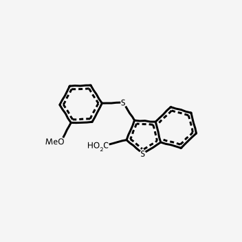 COc1cccc(Sc2c(C(=O)O)sc3ccccc23)c1